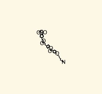 N#CCCCCCOc1ccc(C(=O)Oc2ccc(/C=C/C(=O)OCc3ccc(N4C(=O)C=CC4=O)cc3)cc2)cc1